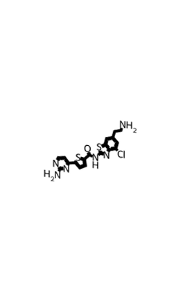 NCCc1cc(Cl)c2nc(NC(=O)c3ccc(-c4ccnc(N)n4)s3)sc2c1